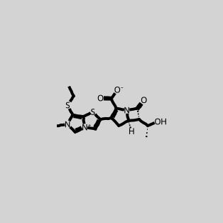 CCSc1c2sc(C3=C(C(=O)[O-])N4C(=O)[C@H]([C@@H](C)O)[C@H]4C3)c[n+]2cn1C